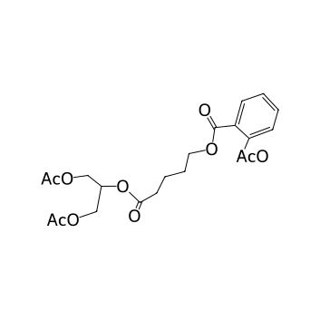 CC(=O)OCC(COC(C)=O)OC(=O)CCCCOC(=O)c1ccccc1OC(C)=O